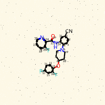 N#Cc1ccc(N2CCC(Oc3ccc(F)cc3F)CC2)c(NC(=O)c2ncccc2F)c1